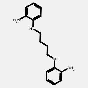 Nc1ccccc1NCCCCNc1ccccc1N